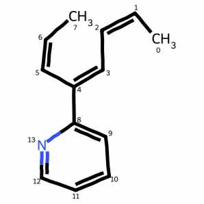 C\C=C/C=C(\C=C/C)c1ccccn1